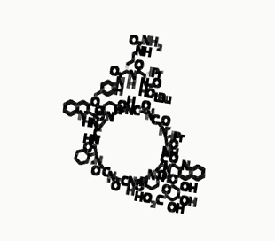 CC(C)[C@H](NC(=O)OC(C)(C)C)C(=O)N[C@@H](CCCNC(N)=O)C(=O)Nc1ccc(COc2cc3ccccc3nc2C(=O)N[C@@H]2CNC(=O)[C@H](C3CCCCC3)N(C)C(=O)CN(C)C(=O)CNC(=O)[C@@H]3CCCCN3C(=O)[C@H](NC(=O)c3nc4ccccc4cc3O[C@@H]3O[C@H](C(=O)O)[C@@H](O)[C@H](O)[C@H]3O)CNC(=O)[C@H](C(C)C)N(C)C(=O)CN(C)C(=O)CNC(=O)[C@@H]3CCCCN3C2=O)cc1